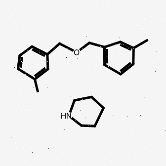 C1CCNCC1.Cc1cccc(COCc2cccc(C)c2)c1